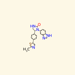 Cc1ncc(-c2ccc(C3CNC(=O)N3c3ccc4[nH]cnc4c3)cc2)s1